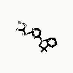 CC(C)(C)OC(=O)Nc1nccc(N2CC(C)(C)c3ccccc32)n1